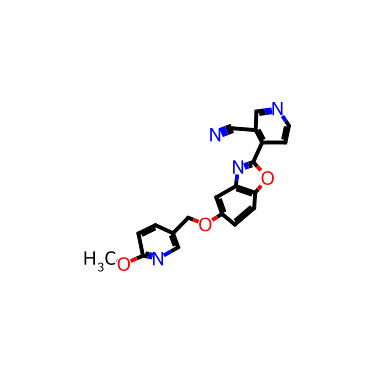 COc1ccc(COc2ccc3oc(-c4ccncc4C#N)nc3c2)cn1